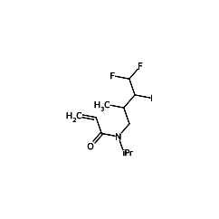 C=CC(=O)N(CC(C)C(I)C(F)F)C(C)C